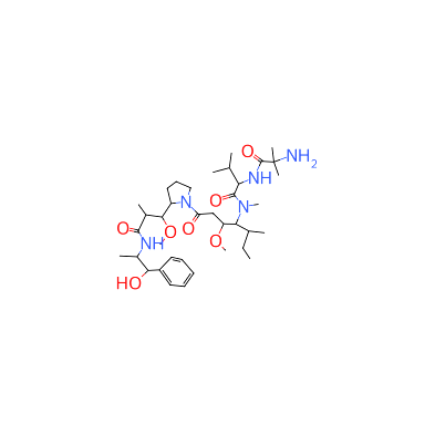 CCC(C)C(C(CC(=O)N1CCCC1C(OC)C(C)C(=O)NC(C)C(O)c1ccccc1)OC)N(C)C(=O)C(NC(=O)C(C)(C)N)C(C)C